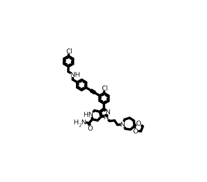 NC(=O)C1Cc2c(c(-c3ccc(Cl)c(C#Cc4ccc(CNCc5ccc(Cl)cc5)cc4)c3)nn2CCCN2CCCC3(CC2)OCCO3)CN1